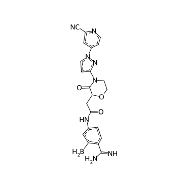 Bc1cc(NC(=O)CC2OCCN(c3ccn(-c4ccnc(C#N)c4)n3)C2=O)ccc1C(=N)N